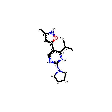 Cc1cc(-c2cnc(N3CCCC3)nc2C(C)C)on1